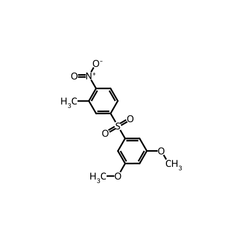 COc1cc(OC)cc(S(=O)(=O)c2ccc([N+](=O)[O-])c(C)c2)c1